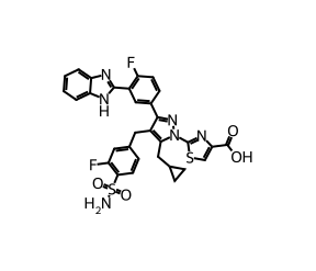 NS(=O)(=O)c1ccc(Cc2c(-c3ccc(F)c(-c4nc5ccccc5[nH]4)c3)nn(-c3nc(C(=O)O)cs3)c2CC2CC2)cc1F